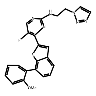 COc1ccccc1-c1cccc2cc(-c3nc(NCCn4ccnn4)ncc3F)sc12